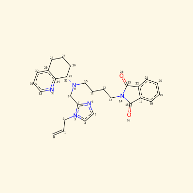 C=CCn1ccnc1CN(CCCCN1C(=O)c2ccccc2C1=O)[C@H]1CCCc2cccnc21